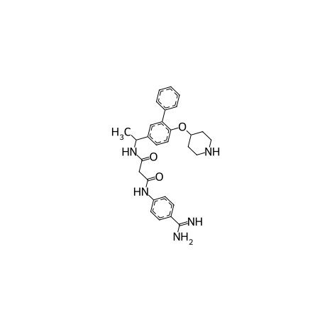 CC(NC(=O)CC(=O)Nc1ccc(C(=N)N)cc1)c1ccc(OC2CCNCC2)c(-c2ccccc2)c1